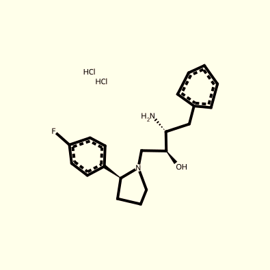 Cl.Cl.N[C@H](Cc1ccccc1)[C@@H](O)CN1CCC[C@H]1c1ccc(F)cc1